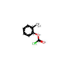 O=C(Cl)Oc1ccccc1C(F)(F)F